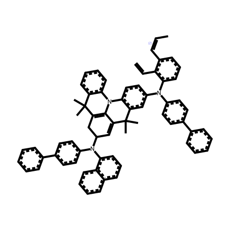 C=Cc1c(/C=C\C)cccc1N(c1ccc(-c2ccccc2)cc1)c1ccc2c(c1)C(C)(C)C1=CC(N(c3ccc(-c4ccccc4)cc3)c3cccc4ccccc34)CC3=C1N2c1ccccc1C3(C)C